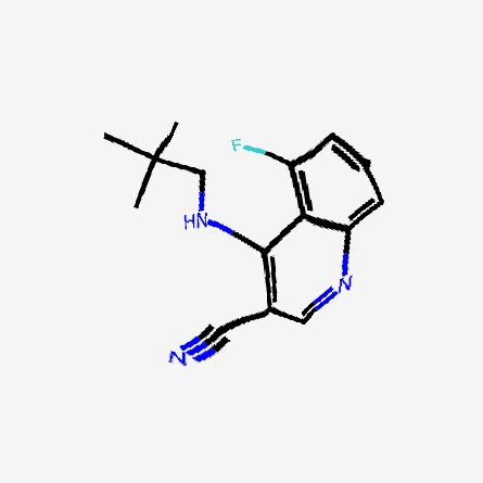 CC(C)(C)CNc1c(C#N)cnc2cccc(F)c12